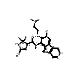 CN(C)CCOc1c(Cl)cc2c([nH]c3cnccc32)c1NC(=O)C1CC(=O)OC1(C)C